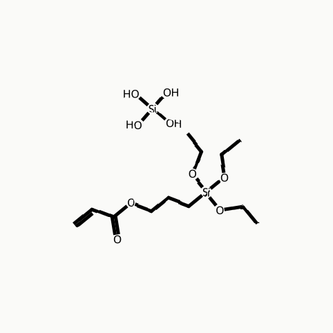 C=CC(=O)OCCC[Si](OCC)(OCC)OCC.O[Si](O)(O)O